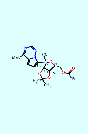 CNc1ncnn2c([C@]3(C#N)O[C@H](COC(=O)C(C)C)[C@H]4OC(C)(C)O[C@H]43)ccc12